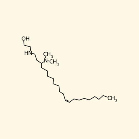 CCCCCCCC/C=C\CCCCCCCCC(CCNCCO)N(C)C